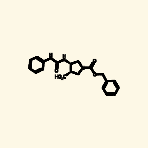 O=C(Nc1ccccc1)N[C@H]1CN(C(=O)OCc2ccccc2)C[C@H]1C(=O)O